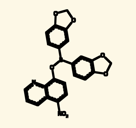 O=[N+]([O-])c1ccc(OB(c2ccc3c(c2)OCO3)c2ccc3c(c2)OCO3)c2ncccc12